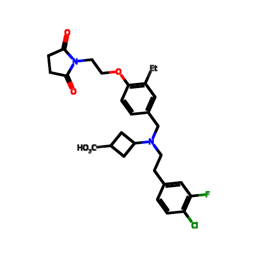 CCc1cc(CN(CCc2ccc(Cl)c(F)c2)C2CC(C(=O)O)C2)ccc1OCCN1C(=O)CCC1=O